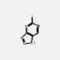 Fc1ncc2[nH]nnc2n1